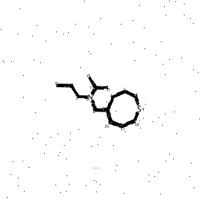 CCCN(CC1CCCSCCC1)C(C)C